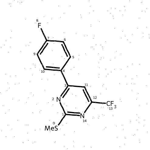 CSc1nc(-c2ccc(F)cc2)cc(C(F)(F)F)n1